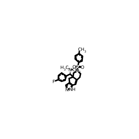 Cc1ccc(S(=O)(=O)N2CCC3=Cc4[nH]ncc4CC3([C@H](c3ccc(F)cc3)N(C)C)C2)cc1